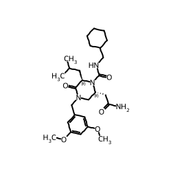 COc1cc(CN2C[C@@H](CC(N)=O)N(C(=O)NCC3CCCCC3)[C@H](CC(C)C)C2=O)cc(OC)c1